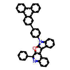 c1ccc(-c2nc3ccccc3c3c2oc2c3c3ccccc3n2-c2ccc(-c3ccc4c5ccccc5c5ccccc5c4c3)cc2)cc1